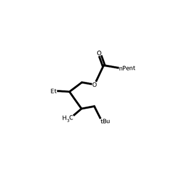 CCCCCC(=O)OCC(CC)C(C)CC(C)(C)C